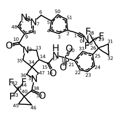 N#Cc1ccc(Cn2cc(C(=O)N3CC(C(=O)NS(=O)(=O)c4cccc(C5(C(F)(F)F)CC5)c4)C4(C3)CN(C(=O)C3(C(F)(F)F)CC3)C4)cn2)cc1